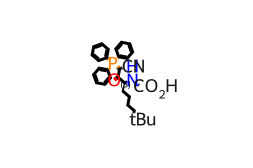 CC(C)(C)CCCC[C@H](NC(=O)O)C(=O)C(C#N)=P(c1ccccc1)(c1ccccc1)c1ccccc1